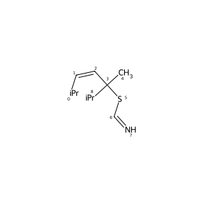 CC(C)/C=C\C(C)(SC=N)C(C)C